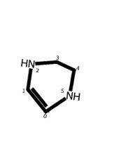 [C]1=CN[CH]CN1